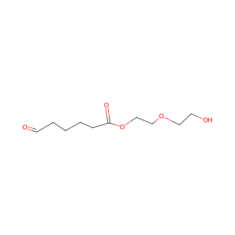 O=CCCCCC(=O)OCCOCCO